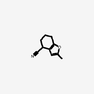 Cc1cc2c(o1)CCCC2C#N